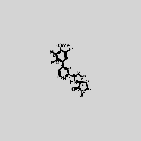 COc1c(F)cc(-c2ccnc([C@H]3CC[C@@]4(CCN(C)C4=O)N3)c2)c(F)c1F